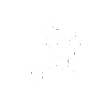 COc1cc(C2CC3(CCN(C)CC3)C2)c(F)cc1Nc1ncc(Cl)c(Nc2ccccc2P(C)(C)=O)n1